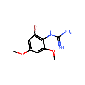 COc1cc(Br)c(NC(=N)N)c(OC)c1